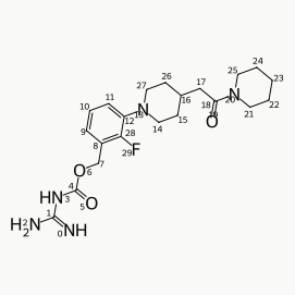 N=C(N)NC(=O)OCc1cccc(N2CCC(CC(=O)N3CCCCC3)CC2)c1F